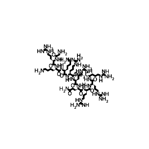 N=C(N)NCCC[C@H](NC(=O)[C@H](CCCNC(=N)N)NC(=O)[C@H](CCCNC(=N)N)NC(=O)[C@H](CCC(N)=O)NC(=O)[C@H](CCCNC(=N)N)NC(=O)[C@H](CCCNC(=N)N)NC(=O)[C@H](CCCCN)NC(=O)[C@H](CCCCN)NC(=O)[C@H](CCCNC(=N)N)NC(=O)CN)C(=O)O